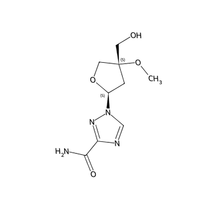 CO[C@@]1(CO)CO[C@H](n2cnc(C(N)=O)n2)C1